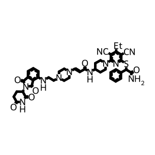 CCc1c(C#N)c(SC(C(N)=O)c2ccccc2)nc(N2CCC(NC(=O)C=CN3CCN(CCNc4cccc5c4C(=O)N(C4CCC(=O)NC4=O)C5=O)CC3)CC2)c1C#N